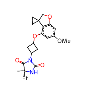 CC[C@]1(C)NC(=O)N(C2CC(Oc3cc(OC)cc4c3C3(CC3)CO4)C2)C1=O